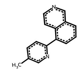 Cc1ccc(-c2cccc3cnccc23)nc1